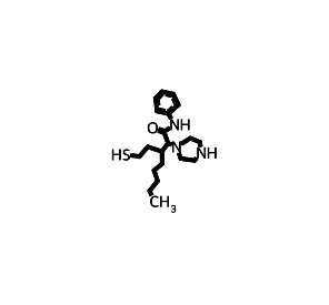 CCCCCC(CCS)C(C(=O)Nc1ccccc1)N1CCNCC1